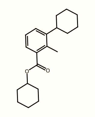 Cc1c(C(=O)OC2CCCCC2)cccc1C1CCCCC1